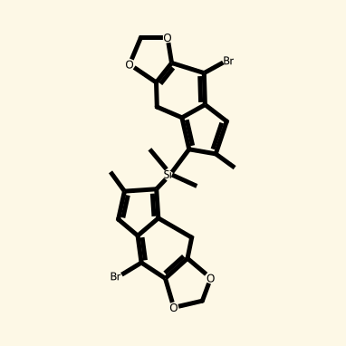 CC1=CC2=C(Br)C3=C(CC2=C1[Si](C)(C)C1=C2CC4=C(OCO4)C(Br)=C2C=C1C)OCO3